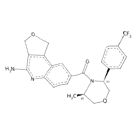 C[C@@H]1COC[C@H](c2ccc(C(F)(F)F)cc2)N1C(=O)c1ccc2nc(N)c3c(c2c1)COC3